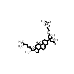 CC(C)CCC[C@@H](C)[C@H]1CCC2C3CC=C4CC(C(CCOCCOS(C)(=O)=O)(CC(=O)O)C(=O)O)CC[C@]4(C)C3CC[C@@]21C